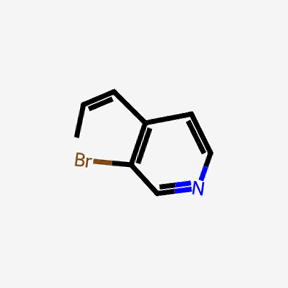 C/C=C\c1ccncc1Br